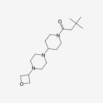 CC(C)(C)CC(=O)N1CCC(N2CCN(C3COC3)CC2)CC1